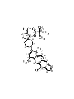 C[C@@H]1OCC2(CCN(C3=NC(N)=C(Sc4ccn5nccc5c4Cl)C(=C=O)N3C)CC2)[C@@H]1N[S@+]([O-])C(C)(C)C